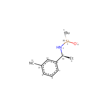 CC[C@H](N[S@@+]([O-])C(C)(C)C)c1cccc(C#N)c1